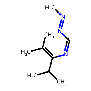 C/N=N/C=N\C(=C(C)C)C(C)C